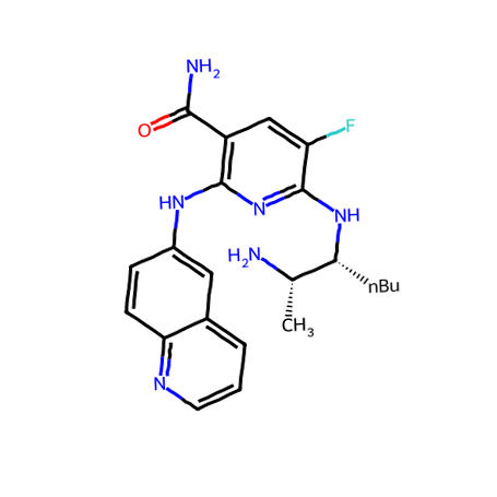 CCCC[C@@H](Nc1nc(Nc2ccc3ncccc3c2)c(C(N)=O)cc1F)[C@H](C)N